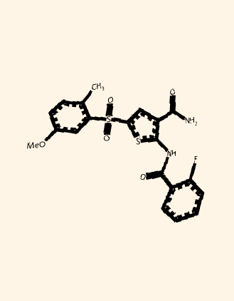 COc1ccc(C)c(S(=O)(=O)c2cc(C(N)=O)c(NC(=O)c3ccccc3F)s2)c1